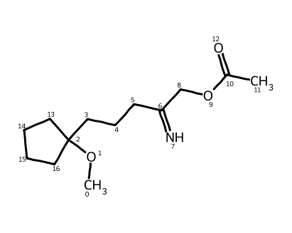 COC1(CCCC(=N)COC(C)=O)CCCC1